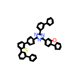 c1ccc(-c2cccc(-c3nc(-c4ccc(-c5cccc6c5sc5c(-c7ccccc7)cccc56)cc4)nc(-c4ccc5c(c4)oc4ccccc45)n3)c2)cc1